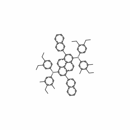 CCc1ccc(N(c2cc(C)c(CC)c(C)c2)c2cc(-c3ccc4ccccc4c3)c3ccc4c(N(c5cc(C)c(CC)c(C)c5)c5ccc(CC)c(CC)c5)cc(-c5ccc6ccccc6c5)c5ccc2c3c54)cc1CC